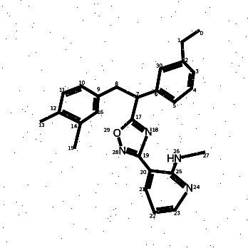 CCc1cccc(C(Cc2ccc(C)c(C)c2)c2nc(-c3cccnc3NC)no2)c1